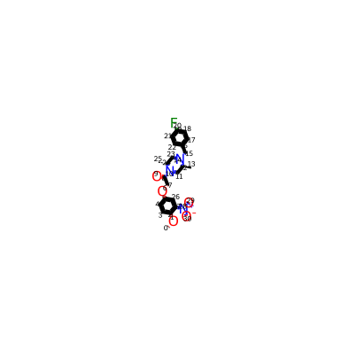 COc1ccc(OCC(=O)N2C[C@H](C)N(Cc3ccc(F)cc3)C[C@H]2C)cc1[N+](=O)[O-]